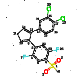 CS(=O)(=O)c1cc(F)c(C2=CCC=C2c2ccc(Cl)c(Cl)c2)cc1F